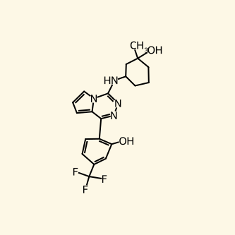 CC1(O)CCCC(Nc2nnc(-c3ccc(C(F)(F)F)cc3O)c3cccn23)C1